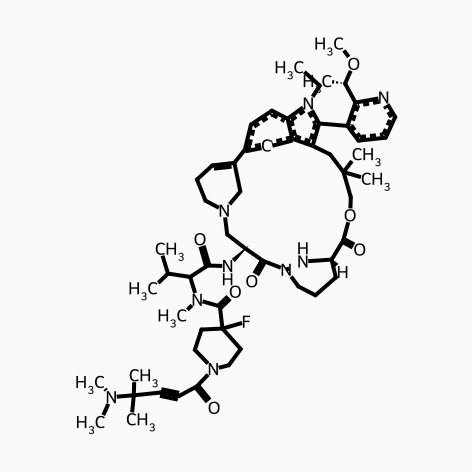 CCn1c(-c2cccnc2[C@H](C)OC)c2c3cc(ccc31)C1=CCCN(C1)C[C@H](NC(=O)C(C(C)C)N(C)C(=O)C1(F)CCN(C(=O)C#CC(C)(C)N(C)C)CC1)C(=O)N1CCC[C@H](N1)C(=O)OCC(C)(C)C2